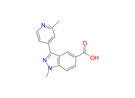 Cc1cc(-c2nn(C)c3ccc(C(=O)O)cc23)ccn1